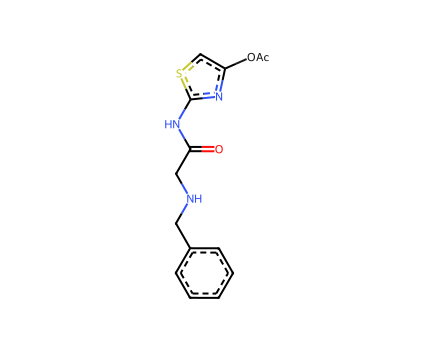 CC(=O)Oc1csc(NC(=O)CNCc2ccccc2)n1